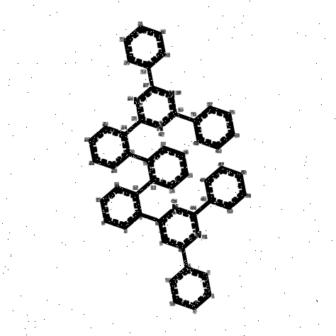 c1ccc(-c2cc(-c3ccccc3-c3ccccc3-c3ccccc3-c3nc(-c4ccccc4)nc(-c4ccccc4)n3)nc(-c3ccccc3)n2)cc1